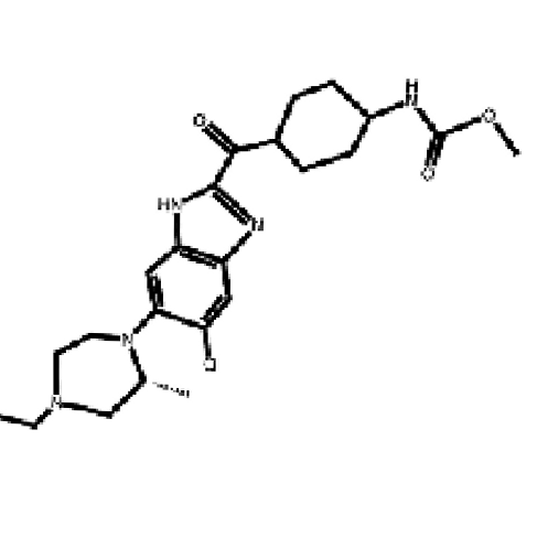 CCN1CCN(c2cc3[nH]c(C(=O)C4CCC(NC(=O)OC)CC4)nc3cc2Cl)[C@H](C)C1